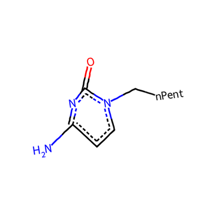 CCCCCCn1ccc(N)nc1=O